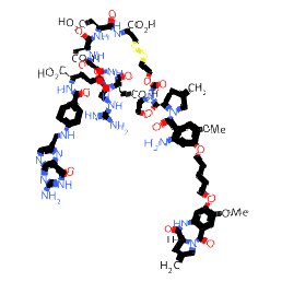 C=C1C[C@H]2C(=O)Nc3cc(OCCCCCOc4cc(N)c(C(=O)N5CC(=C)C[C@H]5C5OCCN5C(=O)OCCSSC[C@H](NC(=O)[C@H](CC(=O)O)NC(=O)[C@H](CC(=O)O)NC(=O)[C@H](CCCNC(=N)N)NC(=O)[C@H](CC(=O)O)NC(=O)CC[C@H](NC(=O)c5ccc(NCc6cnc7nc(N)[nH]c(=O)c7n6)cc5)C(=O)O)C(=O)O)cc4OC)c(OC)cc3C(=O)N2C1